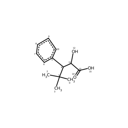 CC(C)(C)C(c1ccccc1)C(O)C(=O)O